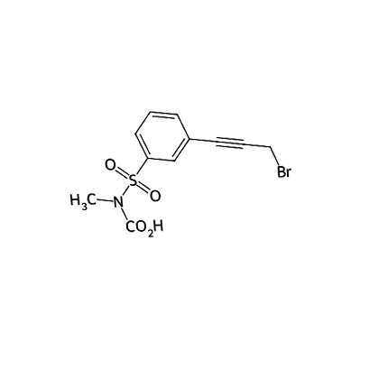 CN(C(=O)O)S(=O)(=O)c1cccc(C#CCBr)c1